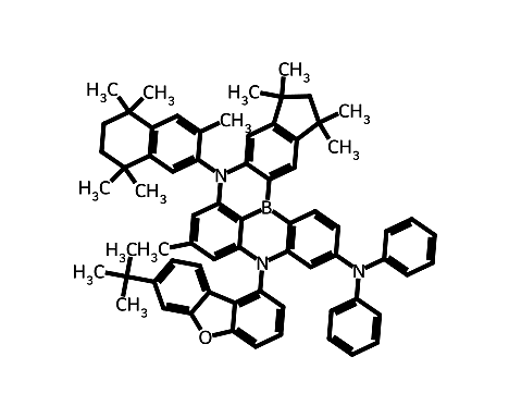 Cc1cc2c3c(c1)N(c1cccc4oc5cc(C(C)(C)C)ccc5c14)c1cc(N(c4ccccc4)c4ccccc4)ccc1B3c1cc3c(cc1N2c1cc2c(cc1C)C(C)(C)CCC2(C)C)C(C)(C)CC3(C)C